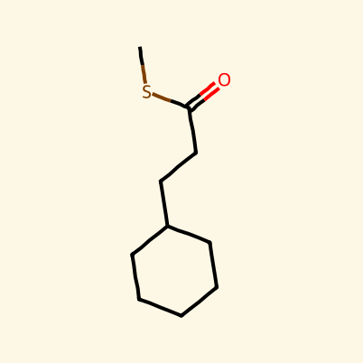 CSC(=O)CCC1CCCCC1